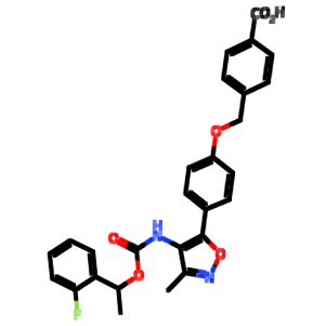 Cc1noc(-c2ccc(OCc3ccc(C(=O)O)cc3)cc2)c1NC(=O)OC(C)c1ccccc1F